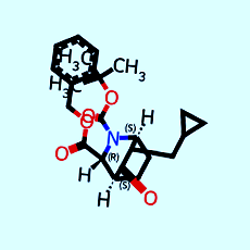 CC(C)(C)OC(=O)N1[C@H]2CC[C@H](C(=O)C2CC2CC2)[C@@H]1C(=O)OCc1ccccc1